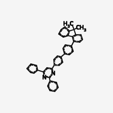 CC1(C)c2ccccc2-c2c(-c3ccc(-c4ccc(-c5cc(-c6ccccc6)nc(-c6ccccc6)n5)cc4)cc3)cccc21